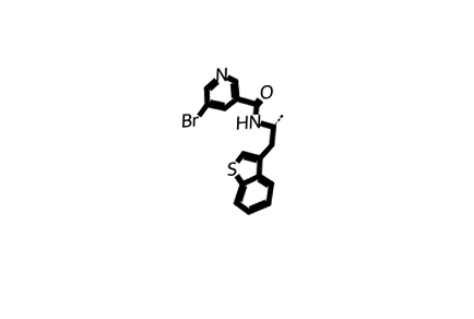 C[C@H](Cc1csc2ccccc12)NC(=O)c1cncc(Br)c1